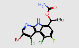 CC(C)(C)C(OC(N)=O)c1cc(F)c(Cl)c2c1[nH]c1ncc(Br)c(Cl)c12